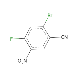 N#Cc1cc([N+](=O)[O-])c(F)cc1Br